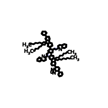 CCCCCCCCC1(CCCCCCCC)c2cc(-c3ccccc3)ccc2-c2ccc(-c3cc(/C=C/c4ccc5ccccc5n4)c(-c4ccc5c(c4)C(CCCCCCCC)(CCCCCCCC)c4cc(-c6ccc(-c7ccccc7)c7nonc67)ccc4-5)cc3/C=C/c3ccc4ccccc4n3)cc21